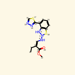 CCC(=CNN1Nc2c(cccc2-c2nncs2)S1)C(=O)OC